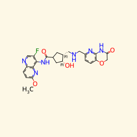 COc1ccc2ncc(F)c(NC(=O)C3C[C@H](CNCc4ccc5c(n4)NC(=O)CO5)[C@H](O)C3)c2n1